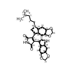 CN(C)CCCn1cc(C2=C(c3c[nH]c4cc5c(cc34)OCO5)C(=O)NC2=O)c2cc3c(cc21)OCO3